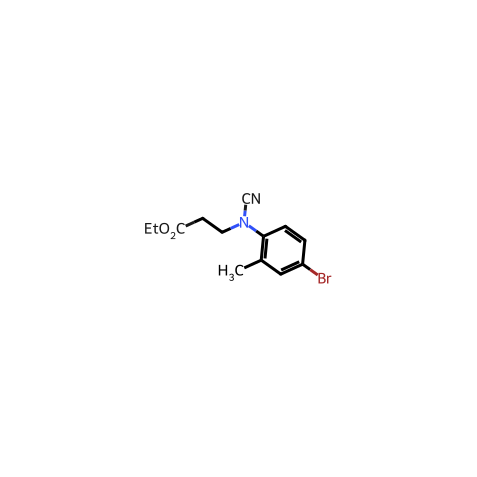 CCOC(=O)CCN(C#N)c1ccc(Br)cc1C